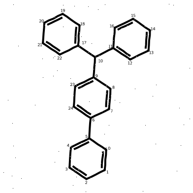 [c]1ccccc1-c1ccc(C(c2ccccc2)c2ccccc2)cc1